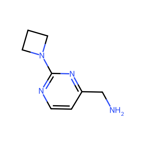 NCc1ccnc(N2CCC2)n1